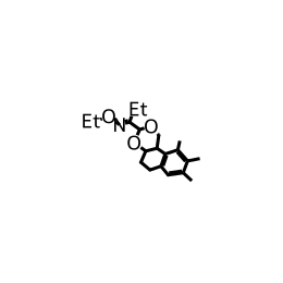 CCON=C(CC)C1OCC2c3c(cc(C)c(C)c3C)CCC2O1